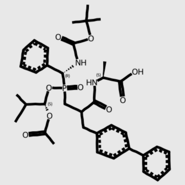 CC(=O)O[C@@H](OP(=O)(CC(Cc1ccc(-c2ccccc2)cc1)C(=O)N[C@@H](C)C(=O)O)[C@@H](NC(=O)OC(C)(C)C)c1ccccc1)C(C)C